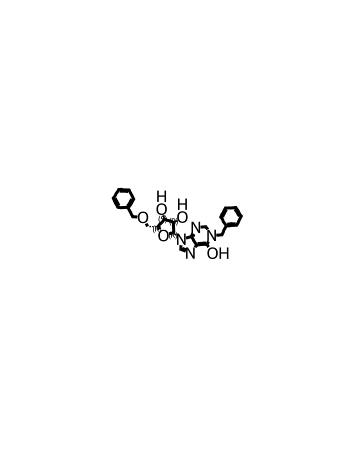 OC1=c2ncn([C@@H]3O[C@H](COCc4ccccc4)[C@@H](O)[C@H]3O)c2=NCN1Cc1ccccc1